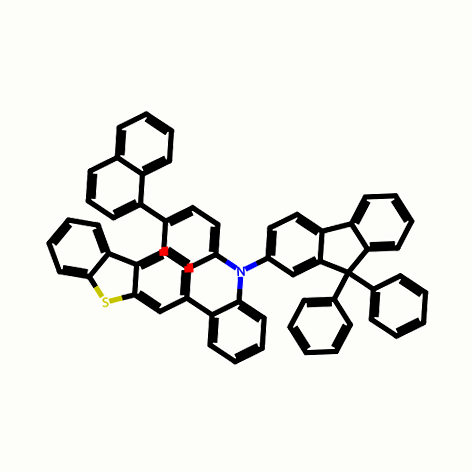 c1ccc(C2(c3ccccc3)c3ccccc3-c3ccc(N(c4ccc(-c5cccc6ccccc56)cc4)c4ccccc4-c4ccc5c(c4)sc4ccccc45)cc32)cc1